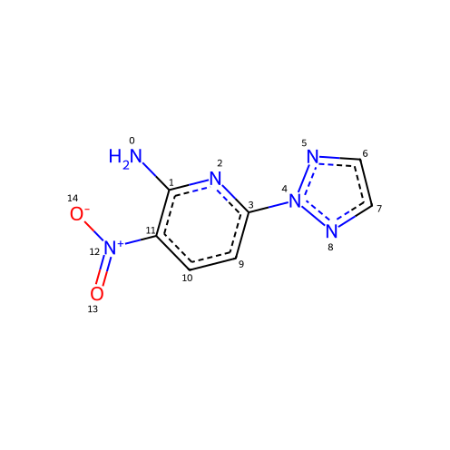 Nc1nc(-n2nccn2)ccc1[N+](=O)[O-]